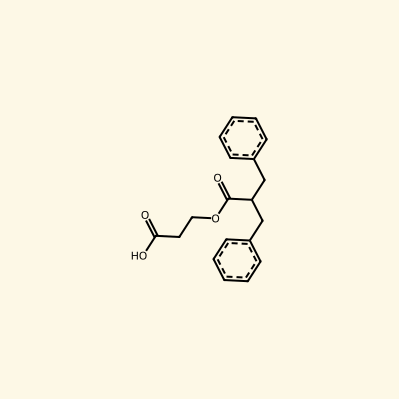 O=C(O)CCOC(=O)C(Cc1ccccc1)Cc1ccccc1